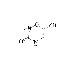 CC1CNC(=O)NO1